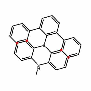 C[SiH]1c2ccccc2B(c2c(-c3ccccc3)cccc2-c2ccccc2)c2ccccc21